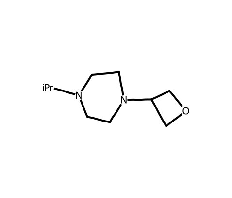 CC(C)N1CCN(C2COC2)CC1